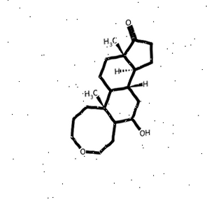 C[C@]12CCCOCCC1C(O)C[C@@H]1C2CC[C@]2(C)C(=O)CC[C@@H]12